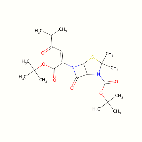 CC(C)C(=O)C=C(C(=O)OC(C)(C)C)N1C(=O)C2C1SC(C)(C)N2C(=O)OC(C)(C)C